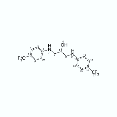 OC(CNc1ccc(C(F)(F)F)cc1)CNc1ccc(C(F)(F)F)cc1